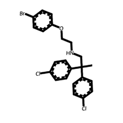 CC(CNCCOc1ccc(Br)cc1)(c1ccc(Cl)cc1)c1ccc(Cl)cc1